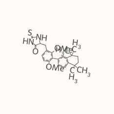 COc1ccc(CC2NC(=S)NC2=O)c(OC)c1-c1ccc2c(c1)C(C)(C)CCC2(C)C